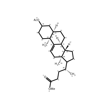 COC(=O)CC[C@@H](C)C1CC[C@H]2[C@@H]3CC[C@@H]4CC(OC(C)=O)CC[C@]4(C)C3=CC[C@]12C